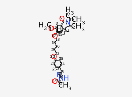 COc1cc(C(=O)N(C(C)C)C(C)C)ccc1OCCCCCOc1ccc(C=NNC(C)=O)cc1